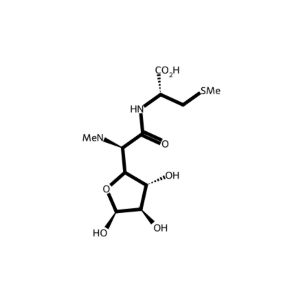 CN[C@@H](C(=O)N[C@@H](CSC)C(=O)O)C1O[C@H](O)[C@H](O)[C@H]1O